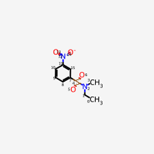 CCN(C)S(=O)(=O)c1cccc([N+](=O)[O-])c1